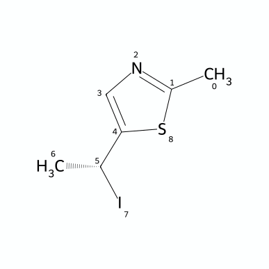 Cc1ncc([C@@H](C)I)s1